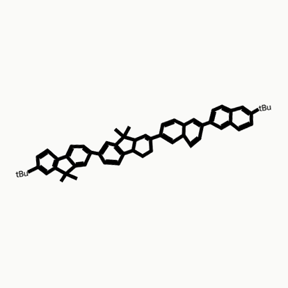 CC(C)(C)c1ccc2c(c1)C(C)(C)c1cc(-c3ccc4c(c3)C(C)(C)C3C=C(C5=CC6C=CC(c7ccc8cc(C(C)(C)C)ccc8c7)=CC6C=C5)CCC43)ccc1-2